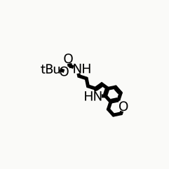 CC(C)(C)OC(=O)NCCCc1cc2ccc3c(c2[nH]1)CCCO3